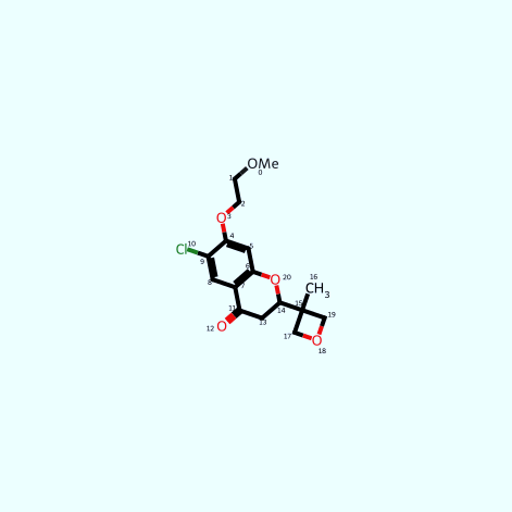 COCCOc1cc2c(cc1Cl)C(=O)CC(C1(C)COC1)O2